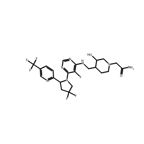 NC(=O)CN1CCC(CNc2ncnc(N3CC(F)(F)CC3c3ccc(C(F)(F)F)cn3)c2F)C(O)C1